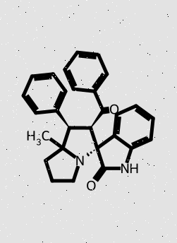 CC12CCCN1[C@]1(C(=O)Nc3ccccc31)[C@H](C(=O)c1ccccc1)[C@@H]2c1ccccc1